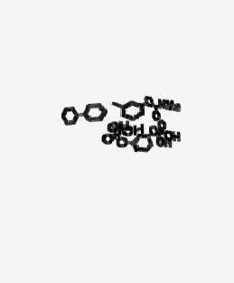 CNC(=O)Oc1cccc(C)c1.O=P(O)(O)Oc1cccc(OP(=O)(O)O)c1.c1ccc(-c2ccccc2)cc1